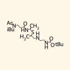 C=C(CNCCNC(=O)OC(C)(C)C)SC(=C)NC(=O)CCN(C(C)=O)C(C)CC